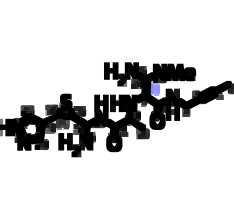 CC#CCNC(=O)/C(N[C@@H](C)C(=O)NC(N)C1S[C@@H]1c1cn[nH]c1)=C(/N)NC